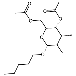 CCCCCO[C@@H]1OC(COC(C)=O)[C@H](OC(C)=O)[C@H](C)C1C